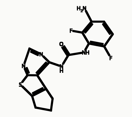 Nc1ccc(F)c(NC(=O)Nc2ncnc3sc4c(c23)CCC4)c1F